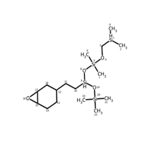 C[SiH](C)CO[Si](C)(C)O[SiH](CCC1CCC2OC2C1)O[Si](C)(C)C